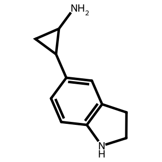 NC1CC1c1ccc2c(c1)CCN2